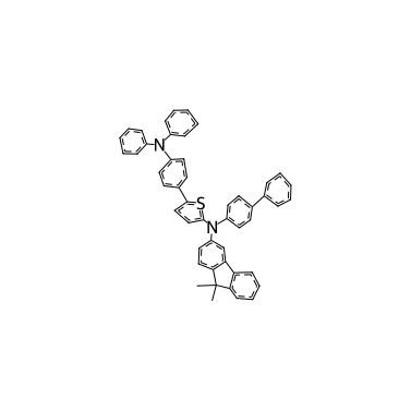 CC1(C)c2ccccc2-c2cc(N(c3ccc(-c4ccccc4)cc3)c3ccc(-c4ccc(N(c5ccccc5)c5ccccc5)cc4)s3)ccc21